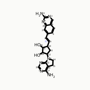 Nc1ncc2ccc(/C=C/C3CC(N4CCc5c(N)ncnc54)C(O)C3O)cc2n1